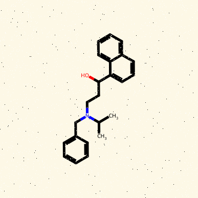 CC(C)N(CCC(O)c1cccc2ccccc12)Cc1ccccc1